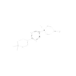 CC1(C)CCN(c2ncc(C3(N)CCC(N)CC3)cn2)CC1